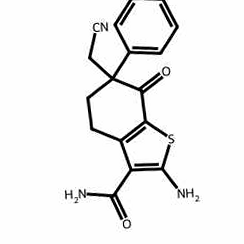 N#CCC1(c2ccccc2)CCc2c(sc(N)c2C(N)=O)C1=O